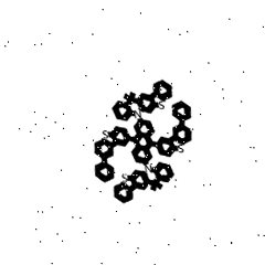 CC1(C)c2ccccc2N(c2ccc3c(-c4ccc5sc6ccc(-c7ccccc7)cc6c5c4)c4cc(N5c6ccccc6C(C)(C)c6cc7c(cc65)sc5ccccc57)ccc4c(-c4ccc5sc6ccc(-c7ccccc7)cc6c5c4)c3c2)c2cc3sc4ccccc4c3cc21